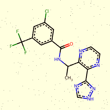 CC(NC(=O)c1cc(Cl)cc(C(F)(F)F)c1)c1nccnc1-c1nc[nH]n1